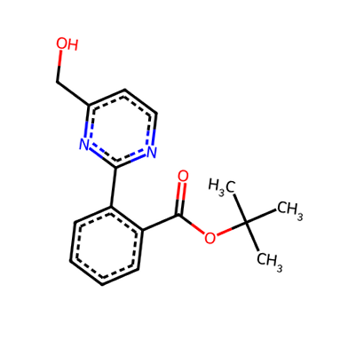 CC(C)(C)OC(=O)c1ccccc1-c1nccc(CO)n1